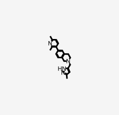 Cc1cc(CN2CCc3cc(-c4ccc(C)nc4C)ccc3C2)[nH]n1